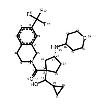 O=C(N1CCc2ccc(C(F)(F)F)cc2C1)[C@@]1(C(O)C2CC2)CC[C@@H](NC2CCOCC2)C1